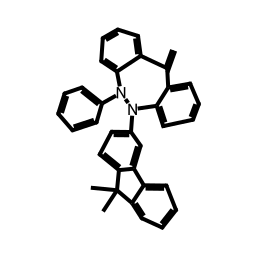 C=C1c2ccccc2N(c2ccccc2)N(c2ccc3c(c2)-c2ccccc2C3(C)C)c2ccccc21